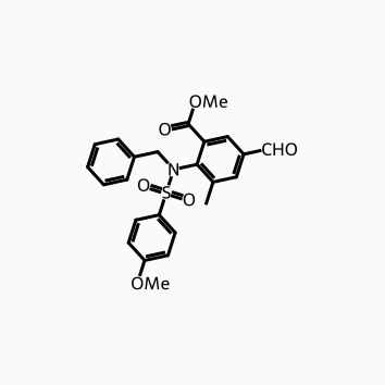 COC(=O)c1cc(C=O)cc(C)c1N(Cc1ccccc1)S(=O)(=O)c1ccc(OC)cc1